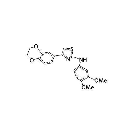 COc1ccc(Nc2nc(-c3ccc4c(c3)OCCO4)cs2)cc1OC